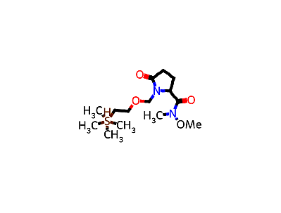 CON(C)C(=O)C1CCC(=O)N1COCC[SH](C)(C)(C)C